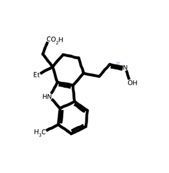 CCC1(CC(=O)O)CCC(C/C=N\O)c2c1[nH]c1c(C)cccc21